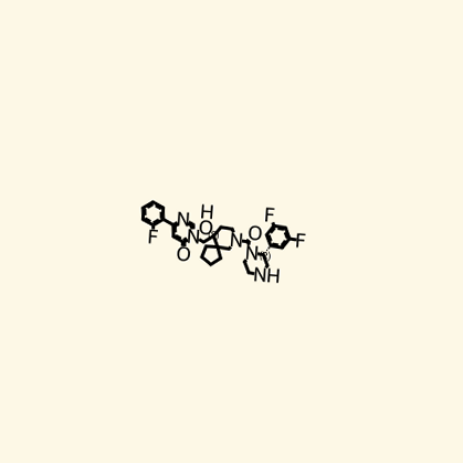 O=C(N1CC[C@@](O)(Cn2cnc(-c3ccccc3F)cc2=O)C2(CCCC2)C1)N1CCNC[C@H]1c1cc(F)cc(F)c1